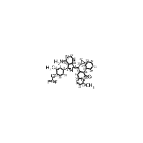 Cc1cc(-c2nn([C@H](c3cc4scc(C)n4c(=O)c3-c3ccccc3)C3CC3)c3ncnc(N)c23)ccc1OC(F)F